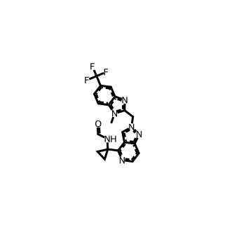 Cn1c(Cn2cc3c(C4(NC=O)CC4)nccc3n2)nc2cc(C(F)(F)F)ccc21